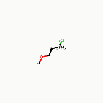 COCC[SiH2]Cl